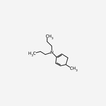 CCCN(CCC)C1=CCC(C)C=C1